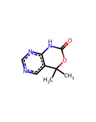 CC1(C)OC(=O)Nc2ncncc21